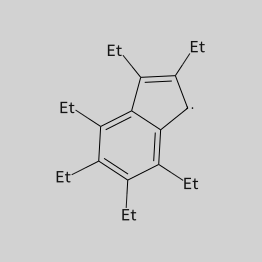 CCC1=C(CC)c2c(c(CC)c(CC)c(CC)c2CC)[CH]1